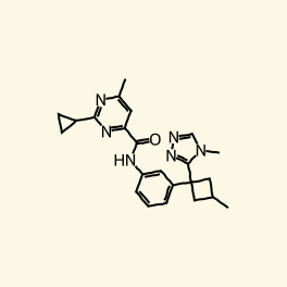 Cc1cc(C(=O)Nc2cccc(C3(c4nncn4C)CC(C)C3)c2)nc(C2CC2)n1